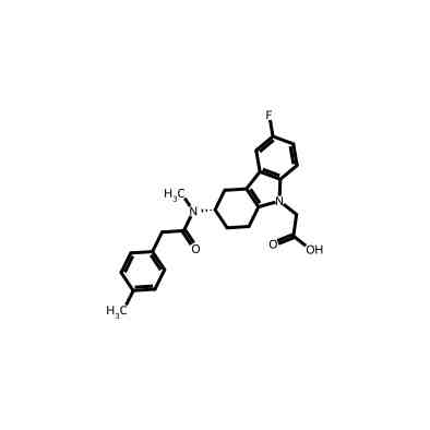 Cc1ccc(CC(=O)N(C)[C@H]2CCc3c(c4cc(F)ccc4n3CC(=O)O)C2)cc1